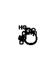 COC(=O)[C@H]1CCC=CCCCCN(C)C(=O)[N+]2CC[C@@H](O)CC2C(=O)N1